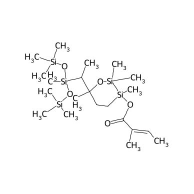 CC=C(C)C(=O)O[Si]1(C)CCC(C)(C(C)[Si](C)(O[Si](C)(C)C)O[Si](C)(C)C)O[Si]1(C)C